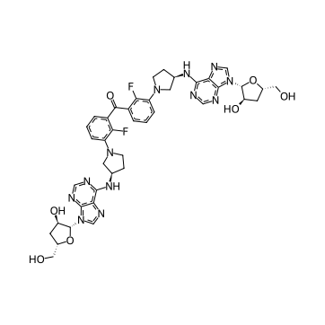 O=C(c1cccc(N2CC[C@@H](Nc3ncnc4c3ncn4[C@@H]3O[C@H](CO)C[C@H]3O)C2)c1F)c1cccc(N2CC[C@@H](Nc3ncnc4c3ncn4[C@@H]3O[C@H](CO)C[C@H]3O)C2)c1F